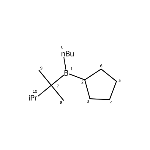 CCCCB(C1CCCC1)C(C)(C)C(C)C